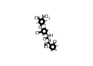 CCOC(=NC(=O)Nc1ccc(Oc2ccc([N+](=O)[O-])c(Cl)c2)c(Cl)c1)c1ccccc1Cl